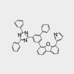 c1ccc(-c2cc(-c3nc(-c4ccccc4)nc(-c4ccccc4)n3)cc(-c3cccc4c3oc3c(-c5cccnc5)cccc34)c2)cc1